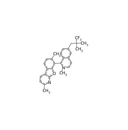 Cc1ccc2c(n1)oc1c(-c3c4ccc(CC(C)(C)C(F)(F)F)cc4cc[n+]3C)c(C)ccc12